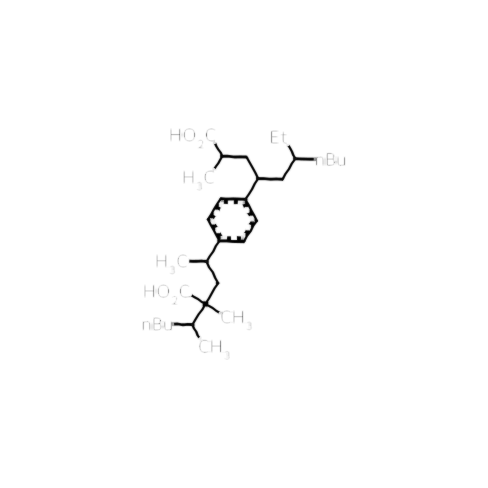 CCCCC(CC)CC(CC(C)C(=O)O)c1ccc(C(C)CC(C)(C(=O)O)C(C)CCCC)cc1